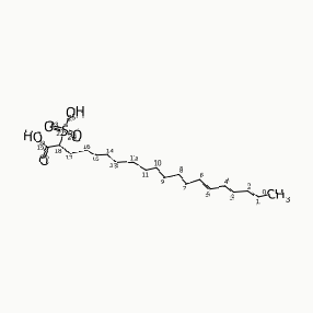 CCCCCCCCCCCCCCCCCCC(C(=O)O)S(=O)(=O)O